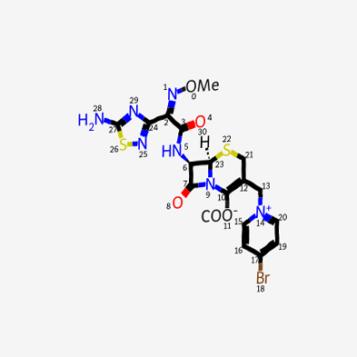 CO/N=C(\C(=O)N[C@@H]1C(=O)N2C(C(=O)[O-])=C(C[n+]3ccc(Br)cc3)CS[C@H]12)c1nsc(N)n1